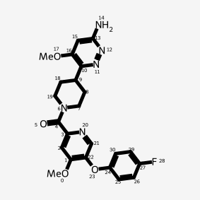 COc1cc(C(=O)N2CCC(c3nnc(N)cc3OC)CC2)ncc1Oc1ccc(F)cc1